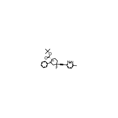 Cc1ccc(C#CC2(F)CC[C@@H](C(=O)OC(C)(C)C)[C@H](c3ccccc3)C2)nn1